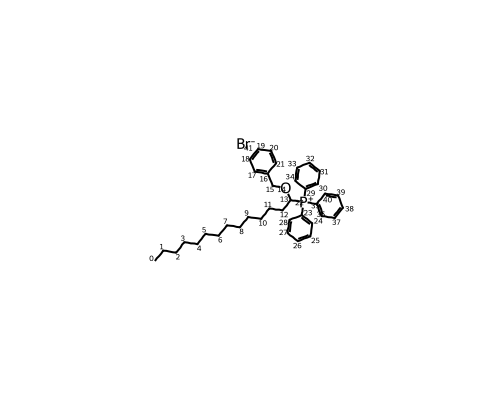 CCCCCCCCCCCCCC(OCc1ccccc1)[P+](c1ccccc1)(c1ccccc1)c1ccccc1.[Br-]